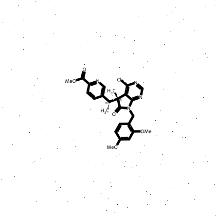 COC(=O)c1ccc([C@@H](C)[C@@]2(C)C(=O)N(Cc3ccc(OC)cc3OC)c3ncnc(Cl)c32)cn1